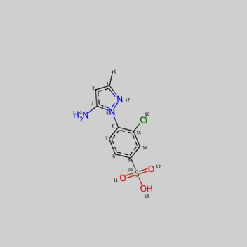 Cc1cc(N)n(-c2ccc(S(=O)(=O)O)cc2Cl)n1